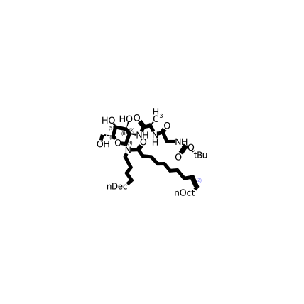 CCCCCCCC/C=C\CCCCCCCC(=O)N(CCCCCCCCCCCCCC)[C@@H]1O[C@H](CO)[C@@H](O)[C@H](O)[C@H]1NC(=O)[C@H](C)NC(=O)CNC(=O)OC(C)(C)C